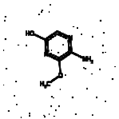 COc1nc(O)cnc1N